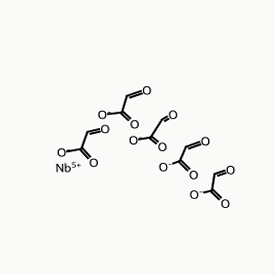 O=CC(=O)[O-].O=CC(=O)[O-].O=CC(=O)[O-].O=CC(=O)[O-].O=CC(=O)[O-].[Nb+5]